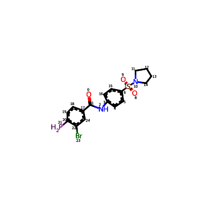 O=C(Nc1ccc(S(=O)(=O)N2CCCC2)cc1)c1ccc(P)c(Br)c1